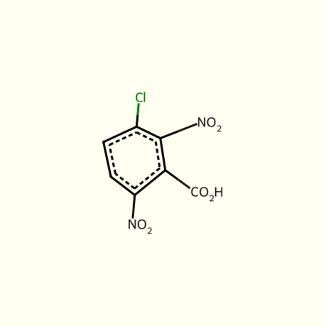 O=C(O)c1c([N+](=O)[O-])ccc(Cl)c1[N+](=O)[O-]